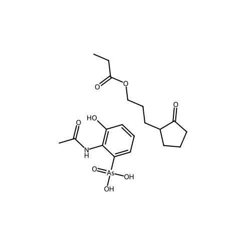 CC(=O)Nc1c(O)cccc1[As](=O)(O)O.CCC(=O)OCCCC1CCCC1=O